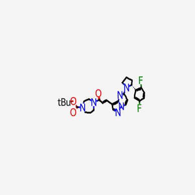 CC(C)(C)OC(=O)N1CCCN(C(=O)C=Cc2cnn3ccc(N4CCC[C@@H]4c4cc(F)ccc4F)nc23)CC1